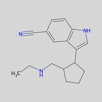 CCNCC1CCCC1c1c[nH]c2ccc(C#N)cc12